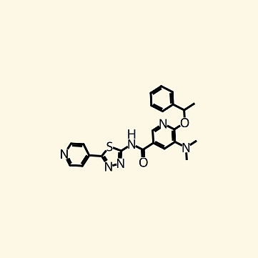 CC(Oc1ncc(C(=O)Nc2nnc(-c3ccncc3)s2)cc1N(C)C)c1ccccc1